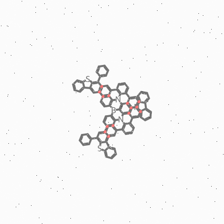 c1ccc(-c2cccc(-c3ccccc3)c2N2c3cc(-c4cc(-c5ccccc5)c5sc6ccccc6c5c4)ccc3B3c4ccc(-c5cc(-c6ccccc6)c6sc7ccccc7c6c5)cc4N(c4c(-c5ccccc5)cccc4-c4ccccc4)c4cc(-n5c6ccccc6c6ccccc65)cc2c43)cc1